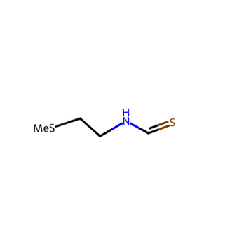 CSCCNC=S